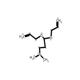 C=CCOC(CCN(C)C)OCC=C